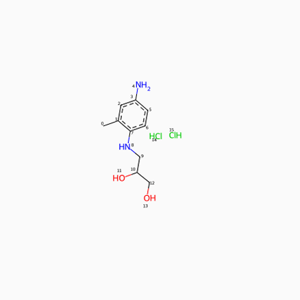 Cc1cc(N)ccc1NCC(O)CO.Cl.Cl